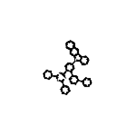 c1ccc(-c2cccc(-c3cc(-n4c5ccccc5c5cc6ccccc6cc54)ccc3-c3nc(-c4ccccc4)nc(-c4ccccc4)n3)c2)cc1